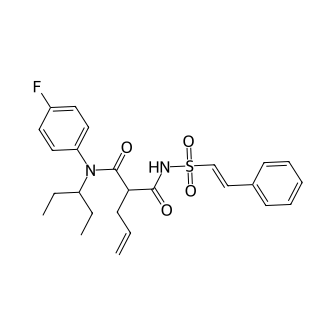 C=CCC(C(=O)NS(=O)(=O)/C=C/c1ccccc1)C(=O)N(c1ccc(F)cc1)C(CC)CC